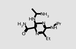 CCc1nc(C(N)=O)c(NC(C)N)nc1NC(C)C